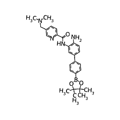 CN(C)Cc1ccc(C(=O)Nc2cc(-c3ccc(B4OC(C)(C)C(C)(C)O4)cc3)ccc2N)nc1